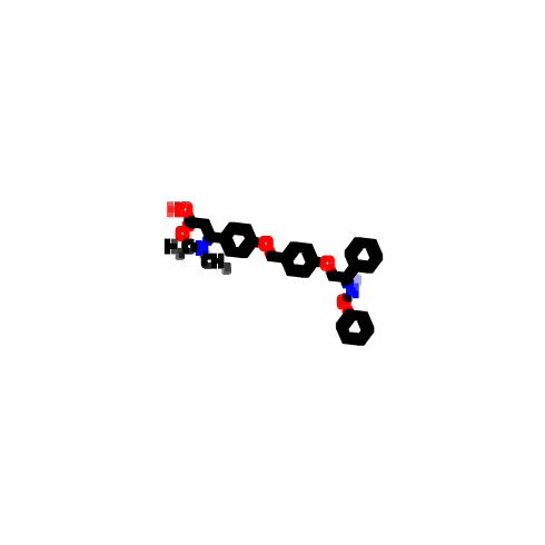 CN(C)C(CC(=O)O)c1ccc(OCc2ccc(OC/C(=N\Oc3ccccc3)c3ccccc3)cc2)cc1